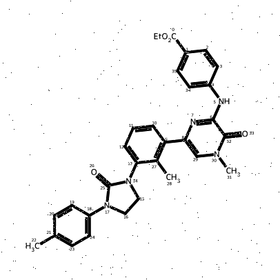 CCOC(=O)c1ccc(Nc2nc(-c3cccc(N4CCN(c5ccc(C)cc5)C4=O)c3C)cn(C)c2=O)cc1